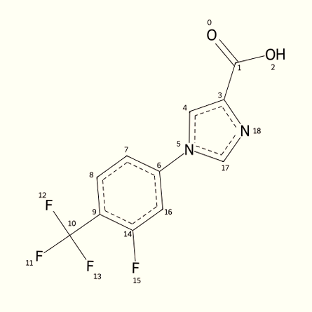 O=C(O)c1cn(-c2ccc(C(F)(F)F)c(F)c2)cn1